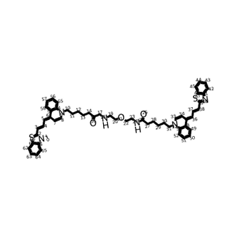 C[n+]1c(C=CC=C2C=CN(CCCCCC(=O)CNCCOCCNC(=O)CCCCCN3C=CC(=CC=Cc4nc5ccccc5s4)c4ccccc43)c3ccccc32)sc2ccccc21